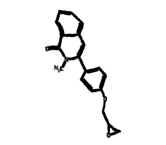 Cn1c(-c2ccc(OCC3CO3)cc2)cc2ccccc2c1=O